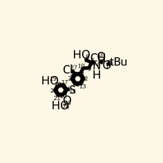 CC(C)(C)OC(=O)N[C@](C)(CO)CCc1ccc(Sc2cc(O)ccc2OO)cc1Cl